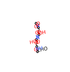 O=Cc1ccccc1C(=O)Nc1ccc(CCOC(=O)c2cc(/N=N/c3ccc(O)c(C(=O)OCCc4ccc(N5COc6ccccc6C5=O)cc4)c3)ccc2O)cc1